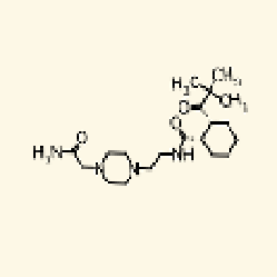 CC(C)(C)C(=O)[C@@H]1CCCC[C@@H]1C(=O)NCCN1CCN(CC(N)=O)CC1